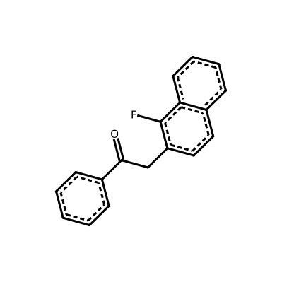 O=C(Cc1ccc2ccccc2c1F)c1ccccc1